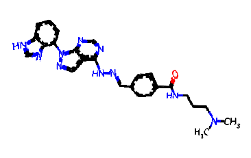 CN(C)CCCNC(=O)c1ccc(C=NNc2ncnc3c2cnn3-c2cccc3[nH]cnc23)cc1